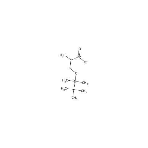 CC(CO[Si](C)(C)C(C)(C)C)[N+](=O)[O-]